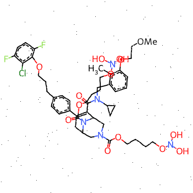 COCCOc1cccc(CN(C(=O)C2=C(c3ccc(CCCOc4c(F)ccc(F)c4Cl)cc3)CC3CN(C(=O)OCCCCON(O)O)CC2N3C(=O)OCCCCON(O)O)C2CC2)c1C